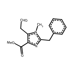 COC(=O)c1nc(Cc2ccccc2)n(C)c1CC=O